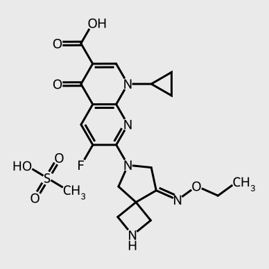 CCON=C1CN(c2nc3c(cc2F)c(=O)c(C(=O)O)cn3C2CC2)CC12CNC2.CS(=O)(=O)O